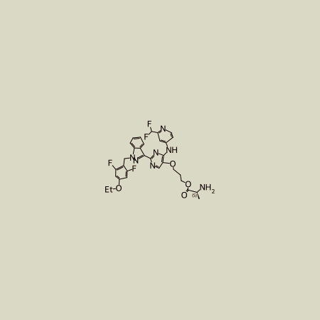 CCOc1cc(F)c(Cn2nc(-c3ncc(OCCCOC(=O)[C@H](C)N)c(Nc4ccnc(C(F)F)c4)n3)c3ccccc32)c(F)c1